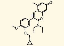 CCN(CC)C(=O)/C(=C\n1c(C)cc(=O)cc1C)c1ccc(OC)c(OCC2CC2)c1